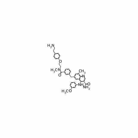 COc1cccc(Nc2c(C(N)=O)cnc3c(C)cc(Cc4cccc(C(=O)N(C)CCOc5ccc(CCN)cc5)c4)cc23)c1